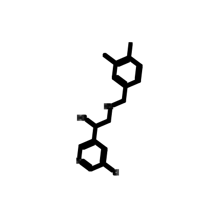 Cc1ccc(CNCC(O)c2cncc(Cl)c2)cc1C